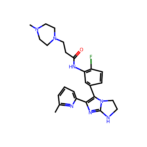 Cc1cccc(-c2nc3n(c2-c2ccc(F)c(NC(=O)CCN4CCN(C)CC4)c2)CCN3)n1